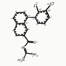 NC(N)=NC(=O)c1ccc2cccc(-c3cccc(Cl)c3Cl)c2c1